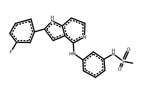 CS(=O)(=O)Nc1cccc(Nc2nccc3[nH]c(-c4cccc(F)c4)cc23)c1